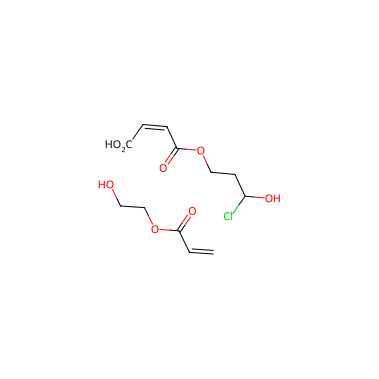 C=CC(=O)OCCO.O=C(O)/C=C\C(=O)OCCC(O)Cl